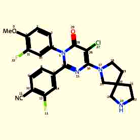 COc1ccc(-n2c(-c3ccc(C#N)c(F)c3)nc(N3CCC4(CCNC4)C3)c(Cl)c2=O)cc1F